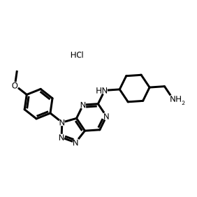 COc1ccc(-n2nnc3cnc(NC4CCC(CN)CC4)nc32)cc1.Cl